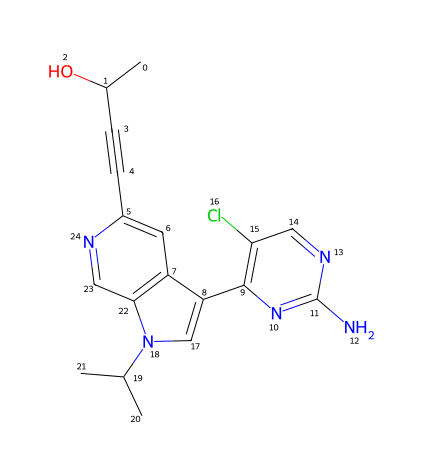 CC(O)C#Cc1cc2c(-c3nc(N)ncc3Cl)cn(C(C)C)c2cn1